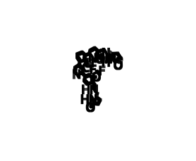 COc1nc(-c2cccc(-c3ccnc(-c4ccc(CNC[C@H]5CCC(=O)N5)c(OC(F)F)c4)c3Cl)c2Cl)ccc1CNC[C@@H]1CCC(=O)N1